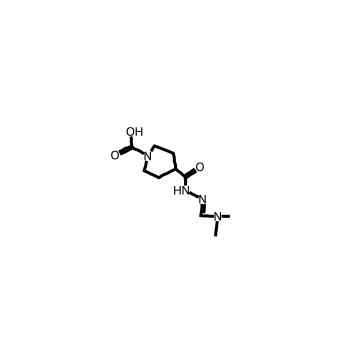 CN(C)C=NNC(=O)C1CCN(C(=O)O)CC1